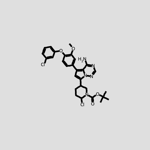 COc1cc(-c2cc(C3CCC(Cl)N(C(=O)OC(C)(C)C)C3)n3ncnc(N)c23)ccc1Oc1cccc(Cl)c1